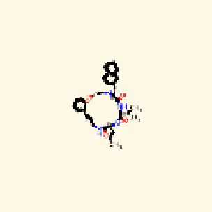 CCC[C@@H]1NC(=O)[C@@H](C(C)C)NC(=O)[C@@H](Cc2ccc3ccccc3c2)NCCOc2ccccc2/C=C/CNC1=O